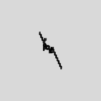 CCCCCCCCCCCCc1cnc(-c2ccc(OCCC(F)CCCCCC)c(F)c2)nc1